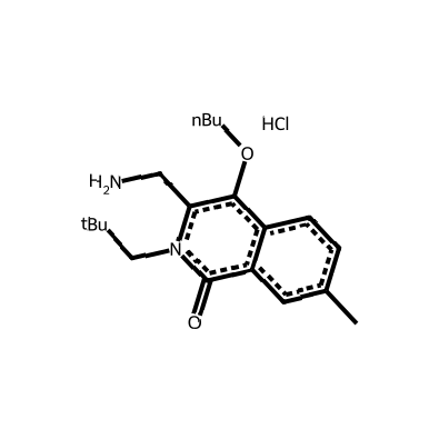 CCCCOc1c(CN)n(CC(C)(C)C)c(=O)c2cc(C)ccc12.Cl